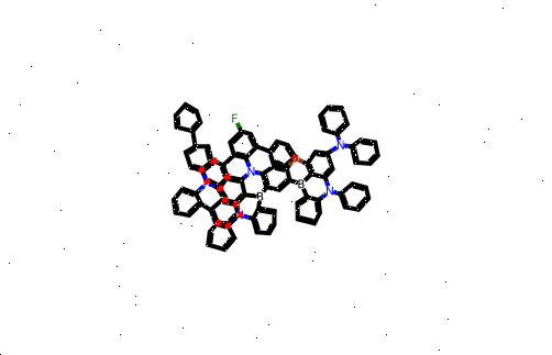 Fc1cc(-c2ccccc2)c(N2c3cc4c(cc3B3c5ccccc5N(c5ccccc5)c5cc(N(c6ccc(-c7ccccc7)cc6)c6ccccc6-c6ccccc6)cc2c53)B2c3ccccc3N(c3ccccc3)c3cc(N(c5ccccc5)c5ccccc5)cc(c32)S4)c(-c2ccccc2)c1